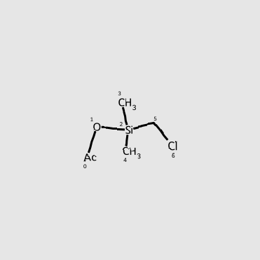 CC(=O)O[Si](C)(C)CCl